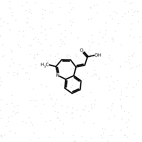 CC1=Nc2ccccc2C(=CC(=O)O)C=C1